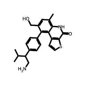 Cc1cc(CO)c(-c2ccc(C(CN)C(C)C)cc2)c2c1[nH]c(=O)c1sccc12